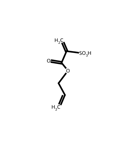 C=CCOC(=O)C(=C)S(=O)(=O)O